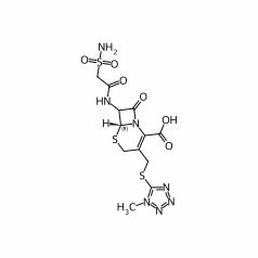 Cn1nnnc1SCC1=C(C(=O)O)N2C(=O)C(NC(=O)CS(N)(=O)=O)[C@H]2SC1